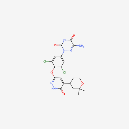 CC1(C)CC(c2cc(Oc3c(Cl)cc(-n4nc(N)c(=O)[nH]c4=O)cc3Cl)n[nH]c2=O)CCO1